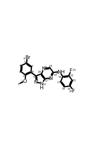 COc1ccc(Br)cc1-c1n[nH]c2nc(Nc3ccc(F)cc3F)cnc12